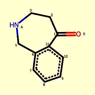 O=C1CCNCc2ccccc21